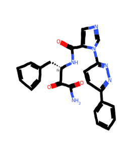 NC(=O)C(=O)[C@H](Cc1ccccc1)NC(=O)c1cncn1-c1ccc(-c2ccccc2)nn1